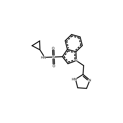 O=S(=O)(NC1CC1)c1cn(CC2=NCCN2)c2ccccc12